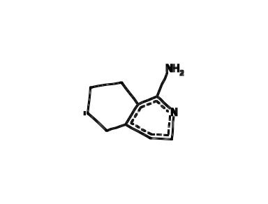 Nc1nccc2c1CC[C]C2